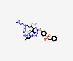 CCCC(CCNCCN(C)C)c1nc(Sc2ccc(S(=O)(=O)Cc3ccccc3)cc2)nc(Nc2cc(C)[nH]n2)c1OC